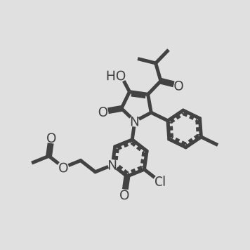 CC(=O)OCCn1cc(N2C(=O)C(O)=C(C(=O)C(C)C)C2c2ccc(C)cc2)cc(Cl)c1=O